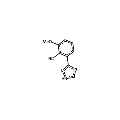 COc1cccc(-c2nc[nH]n2)c1C#N